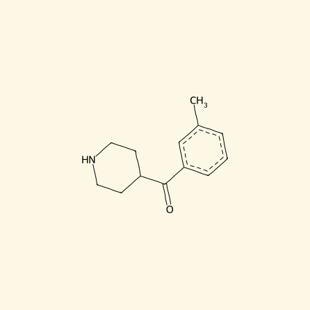 Cc1cccc(C(=O)C2CCNCC2)c1